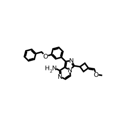 COC=C1CC(c2nc(-c3cccc(OCc4ccccc4)c3)c3c(N)nccn23)C1